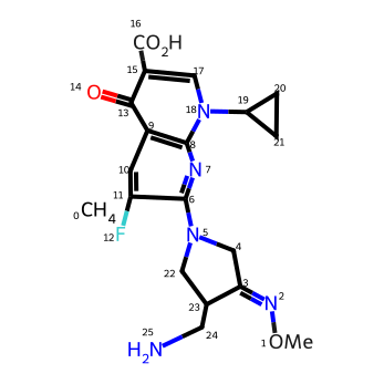 C.CON=C1CN(c2nc3c(cc2F)c(=O)c(C(=O)O)cn3C2CC2)CC1CN